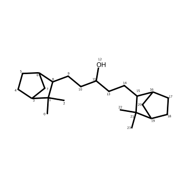 CC1(C)C2CCC(C2)C1CCC(O)CCC1C2CCC(C2)C1(C)C